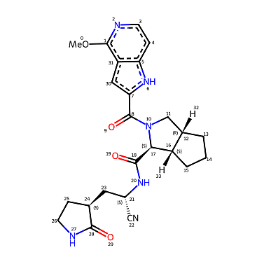 COc1nccc2[nH]c(C(=O)N3C[C@@H]4CCC[C@@H]4[C@H]3C(=O)N[C@H](C#N)C[C@@H]3CCNC3=O)cc12